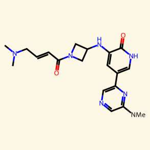 CNc1cncc(-c2c[nH]c(=O)c(NC3CN(C(=O)C=CCN(C)C)C3)c2)n1